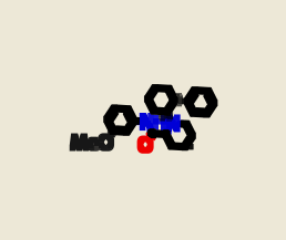 COc1cccc(NC(=O)C2C[CH]CCN2[C@@H]2CCCC[C@@H]2c2ccccc2)c1